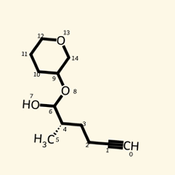 C#CCC[C@H](C)C(O)OC1CCCOC1